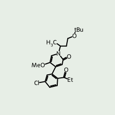 CCC(=O)c1ccc(Cl)cc1-c1cc(=O)n(C(C)CCOC(C)(C)C)cc1OC